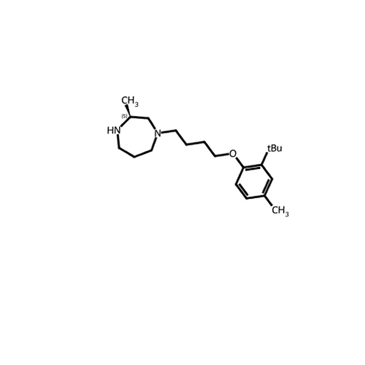 Cc1ccc(OCCCCN2CCCN[C@@H](C)C2)c(C(C)(C)C)c1